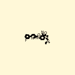 CCN(C)CCN(C)C(=O)C1(C#N)CCCC(NC(=O)c2ccc(-c3cccc(F)c3)nc2)C1